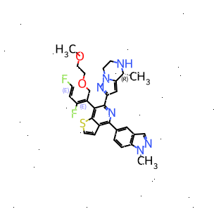 COCCOC/C(=C(F)\C=C\F)c1c(-c2cc3n(n2)CCN[C@@H]3C)nc(-c2ccc3c(cnn3C)c2)c2ccsc12